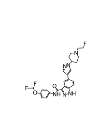 O=C(Nc1ccc(OC(F)F)cc1)c1n[nH]c2ccc(-c3cnn(C4CCN(CCF)CC4)c3)cc12